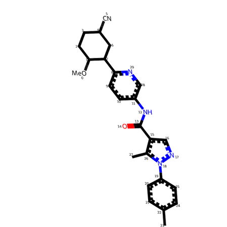 COC1CCC(C#N)CC1c1ccc(NC(=O)c2cnn(-c3ccc(C)cc3)c2C)cn1